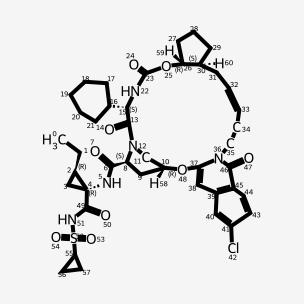 CC[C@@H]1C[C@]1(NC(=O)[C@@H]1C[C@@H]2CN1C(=O)[C@H](C1CCCCC1)NC(=O)O[C@@H]1CCC[C@H]1CC=CCCn1c(cc3cc(Cl)ccc3c1=O)O2)C(=O)NS(=O)(=O)C1CC1